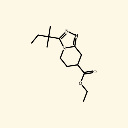 CCOC(=O)C1CCn2c(nnc2C(C)(C)CC)C1